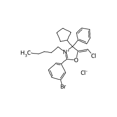 CCCCC[N+]1=C(c2cccc(Br)c2)OC(=CCl)C1(c1ccccc1)C1CCCC1.[Cl-]